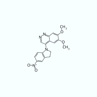 COc1cc2nncc(N3CCc4cc([N+](=O)[O-])ccc43)c2cc1OC